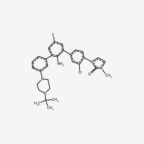 Cn1ccn(-c2ccc(-c3cc(F)cc(-c4cccc(N5CCN(C(C)(C)C)CC5)c4)c3N)cc2Cl)c1=O